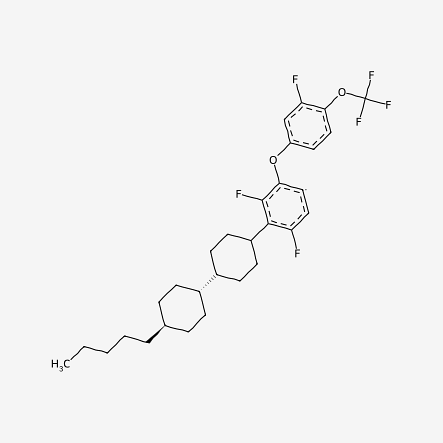 CCCCC[C@H]1CC[C@H](C2CCC(c3c(F)c[c]c(Oc4ccc(OC(F)(F)F)c(F)c4)c3F)CC2)CC1